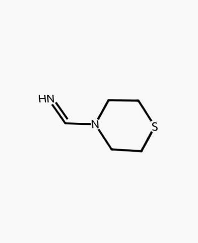 N=CN1CCSCC1